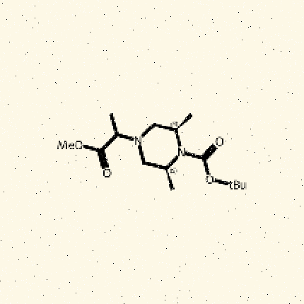 COC(=O)C(C)N1C[C@@H](C)N(C(=O)OC(C)(C)C)[C@@H](C)C1